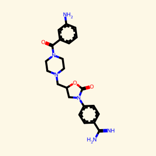 N=C(N)c1ccc(N2CC(CN3CCN(C(=O)c4cccc(N)c4)CC3)OC2=O)cc1